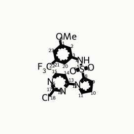 COc1cc(NS(=O)(=O)c2cccn2-c2ccnc(Cl)n2)cc(C(F)(F)F)c1